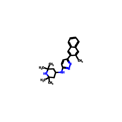 Cc1cc2ccccc2cc1-c1ccc(NC2CC(C)(C)NC(C)(C)C2)nn1